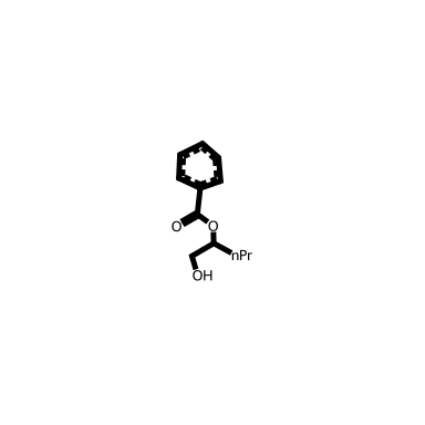 CCCC(CO)OC(=O)c1ccccc1